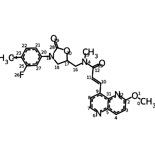 COc1ccc2nccc(C=CC(=O)N(C)CC3CN(c4ccc(C)c(F)c4)C(=O)O3)c2n1